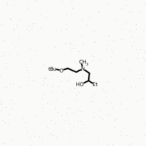 CCC(O)CN(C)CCOC(C)(C)C